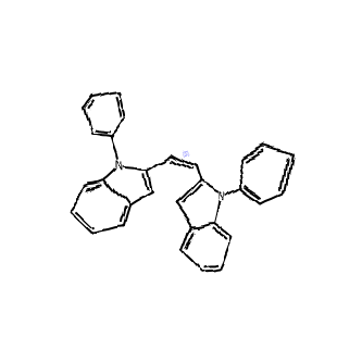 C(=C/c1cc2ccccc2n1-c1ccccc1)/c1cc2ccccc2n1-c1ccccc1